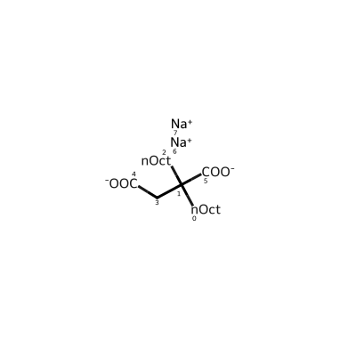 CCCCCCCCC(CCCCCCCC)(CC(=O)[O-])C(=O)[O-].[Na+].[Na+]